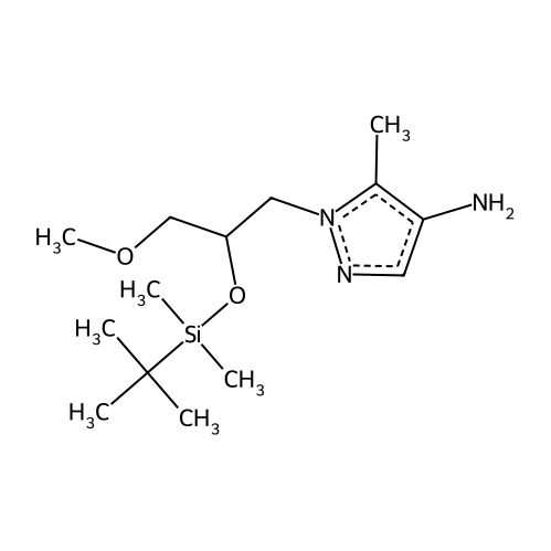 COCC(Cn1ncc(N)c1C)O[Si](C)(C)C(C)(C)C